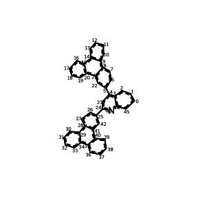 c1ccc2c(-c3ccc4c5ccccc5c5ccccc5c4c3)cc(-c3ccc4c5ccccc5c5ccccc5c4c3)nc2c1